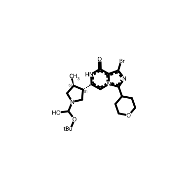 C[C@@H]1CN(C(O)OC(C)(C)C)C[C@H]1c1cn2c(C3CCOCC3)nc(Br)c2c(=O)[nH]1